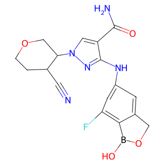 N#CC1CCOCC1n1cc(C(N)=O)c(Nc2cc(F)c3c(c2)COB3O)n1